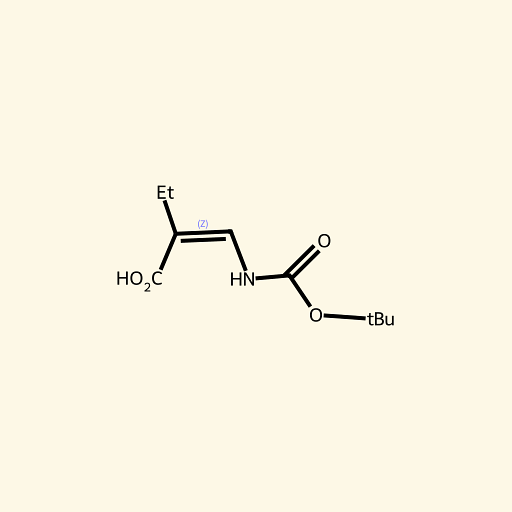 CC/C(=C/NC(=O)OC(C)(C)C)C(=O)O